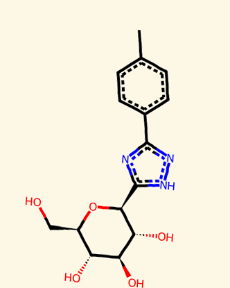 Cc1ccc(-c2n[nH]c([C@@H]3O[C@H](CO)[C@@H](O)[C@H](O)[C@H]3O)n2)cc1